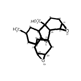 CC1CCC(C(C)C)C(C2(C(=O)O)CCC3OC3C2C2CCC3OC3C2)C1